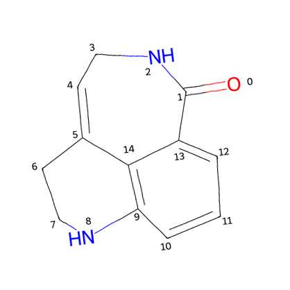 O=C1NCC=C2CCNc3cccc1c32